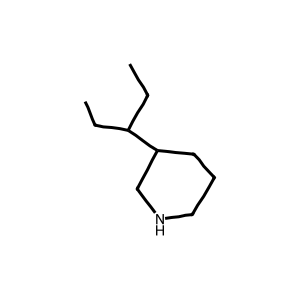 CCC(CC)C1CCCNC1